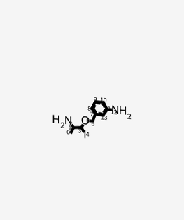 CC(N)C(I)OCc1cccc(N)c1